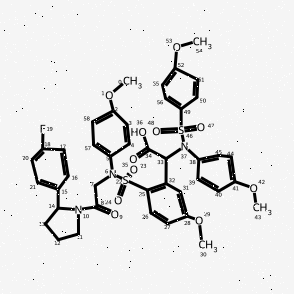 COc1ccc(N(CC(=O)N2CCCC2c2ccc(F)cc2)S(=O)(=O)c2ccc(OC)cc2C(C(=O)O)N(c2ccc(OC)cc2)S(=O)(=O)c2ccc(OC)cc2)cc1